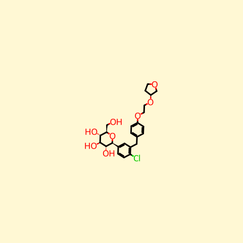 OC[C@H]1O[C@@H](c2ccc(Cl)c(Cc3ccc(OCCO[C@H]4CCOC4)cc3)c2)[C@H](O)[C@@H](O)[C@@H]1O